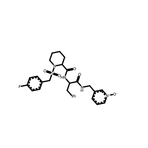 CC(C)CC(NC(=O)C1CCCCN1S(=O)(=O)Cc1ccc(F)cc1)C(=O)NCc1ccc[n+]([O-])c1